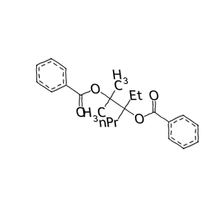 CCCC(CC)(OC(=O)c1ccccc1)C(C)(C)OC(=O)c1ccccc1